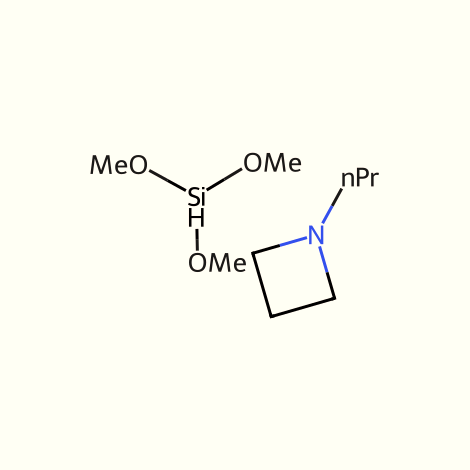 CCCN1CCC1.CO[SiH](OC)OC